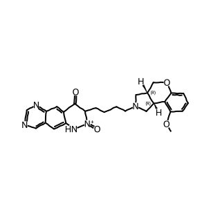 COc1cccc2c1[C@@H]1CN(CCCCC3C(=O)c4cc5ncncc5cc4N[N+]3=O)C[C@@H]1CO2